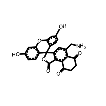 NCc1cc2c(c3c1C(=O)CCC3=O)C(=O)OC21c2ccc(O)cc2Oc2cc(O)ccc21